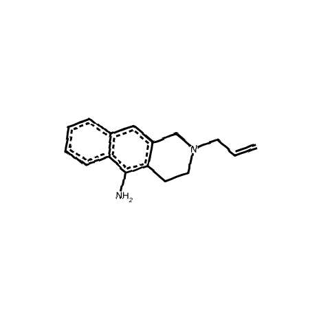 C=CCN1CCc2c(cc3ccccc3c2N)C1